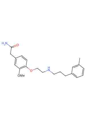 COc1cc(CC(N)=O)ccc1OCCNCCCc1cccc(C)c1